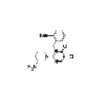 N#Cc1ccccc1Cn1c(N2CCCC(N)C2)ncc(Cl)c1=O